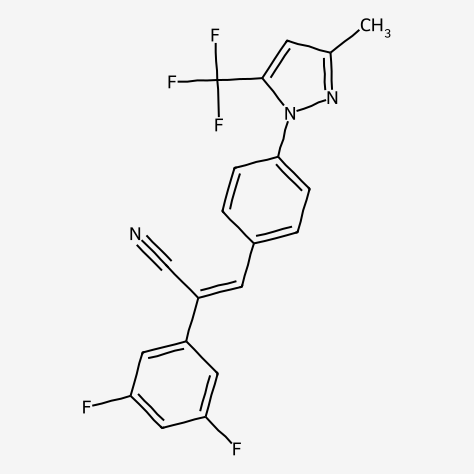 Cc1cc(C(F)(F)F)n(-c2ccc(C=C(C#N)c3cc(F)cc(F)c3)cc2)n1